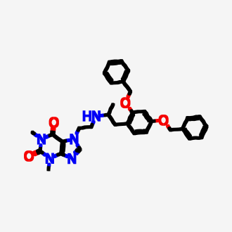 CC(Cc1ccc(OCc2ccccc2)cc1OCc1ccccc1)NCCn1cnc2c1c(=O)n(C)c(=O)n2C